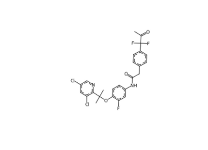 CC(=O)C(F)(F)c1ccc(CC(=O)Nc2ccc(OC(C)(C)c3ncc(Cl)cc3Cl)c(F)c2)cc1